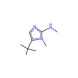 CNc1ncc(C(C)(C)C)n1C